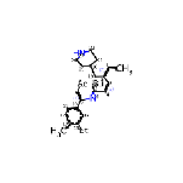 C\C=C(/C=C\C(=N\C(=C/C(C)=O)c1ccc(C)c(CC)c1)C(C)CC)CC1CCNCC1